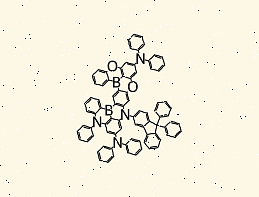 c1ccc(N(c2ccccc2)c2cc3c4c(c2)Oc2cc5c(cc2B4c2ccccc2O3)B2c3ccccc3N(c3ccccc3)c3cc(N(c4ccccc4)c4ccccc4)cc(c32)N5c2ccc3c(c2)-c2ccccc2C3(c2ccccc2)c2ccccc2)cc1